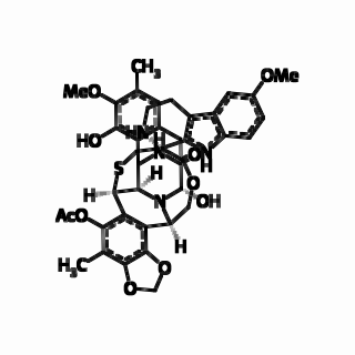 COc1ccc2[nH]c3c(c2c1)CCN[C@]31CS[C@@H]2c3c(OC(C)=O)c(C)c4c(c3[C@H](COC1=O)N1[C@@H]2C2NC(Cc3cc(C)c(OC)c(O)c32)[C@@H]1O)OCO4